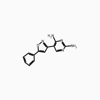 Nc1ncc(-c2cc(-c3ccccc3)on2)c(N)n1